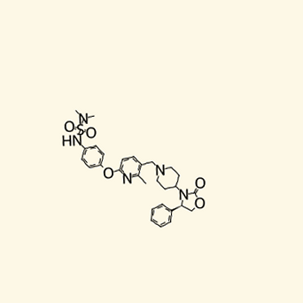 Cc1nc(Oc2ccc(NS(=O)(=O)N(C)C)cc2)ccc1CN1CCC(N2C(=O)OC[C@H]2c2ccccc2)CC1